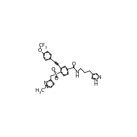 Cn1ccc(CS(=O)(=O)c2ccc(C(=O)NCCCc3cn[nH]c3)cc2C#Cc2ccc(OC(F)(F)F)cc2)n1